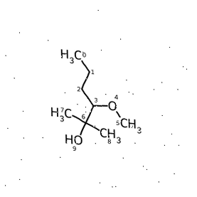 CCCC(OC)C(C)(C)O